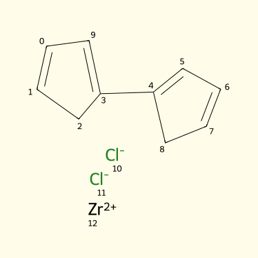 C1=CCC(C2=CC=CC2)=C1.[Cl-].[Cl-].[Zr+2]